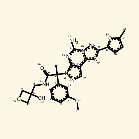 COc1cccc(C(C)(C(=O)NCC2(O)COC2)n2ncc3c2nc(N)n2nc(-c4ccc(C)o4)nc32)c1